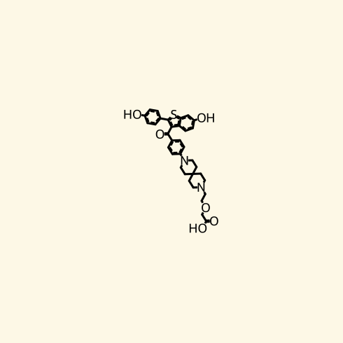 O=C(O)COCCN1CCC2(CC1)CCN(c1ccc(C(=O)c3c(-c4ccc(O)cc4)sc4cc(O)ccc34)cc1)CC2